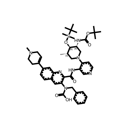 C[C@H]1CN(c2ccncc2NC(=O)c2nc3cc(C4=CCN(C)CC4)ccc3cc2N(Cc2ccccc2)C(=O)O)C[C@@H](NC(=O)OC(C)(C)C)[C@@H]1O[Si](C)(C)C(C)(C)C